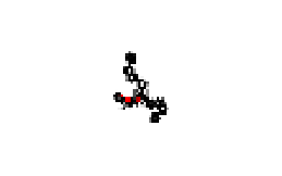 CC1(C)c2cc(-c3nc(-c4cccc(-c5ccc6ccc(-c7ccccc7)cc6c5)c4)nc(-c4ccc5sc6ccccc6c5c4)n3)ccc2-c2c(-c3ccccc3)cccc21